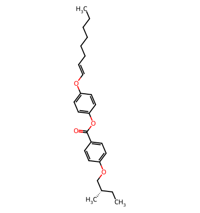 CCCCCC/C=C/Oc1ccc(OC(=O)c2ccc(OC[C@@H](C)CC)cc2)cc1